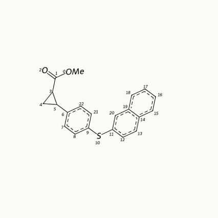 COC(=O)C1CC1c1ccc(Sc2ccc3ccccc3c2)cc1